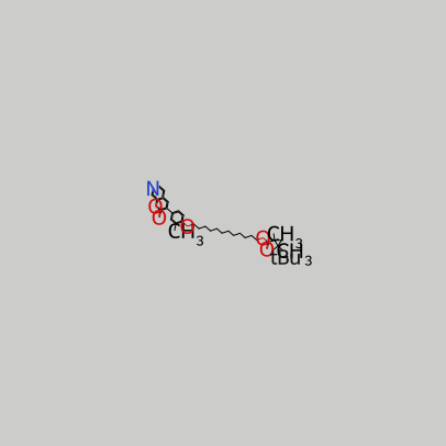 Cc1cc(-c2cc3ccncc3oc2=O)ccc1OCCCCCCCCCCCCOC(=O)C1(C)CC1(C)CC(C)(C)C